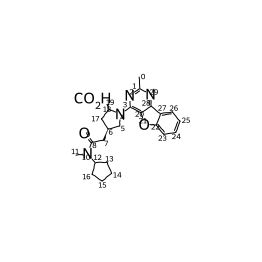 Cc1nc(N2C[C@@H](CC(=O)N(C)C3CCCC3)C[C@H]2C(=O)O)c2oc3ccccc3c2n1